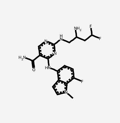 Cn1ccc2c(Nc3nc(NCC(N)CC(F)F)ncc3C(N)=O)ccc(F)c21